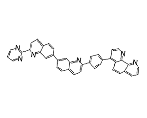 c1cnc(-c2ccc3ccc(-c4ccc5ccc(-c6ccc(-c7ccnc8c7ccc7cccnc78)cc6)nc5c4)cc3n2)nc1